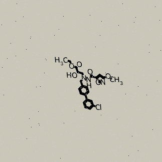 CCOC(=O)C(O)CN(Cc1ccc(-c2cccc(Cl)c2)cc1)NC(=O)c1cc(OC)no1